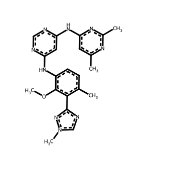 COc1c(Nc2cc(Nc3cc(C)nc(C)n3)ncn2)ccc(C)c1-c1ncn(C)n1